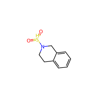 O=[SH](=O)N1CCc2ccccc2C1